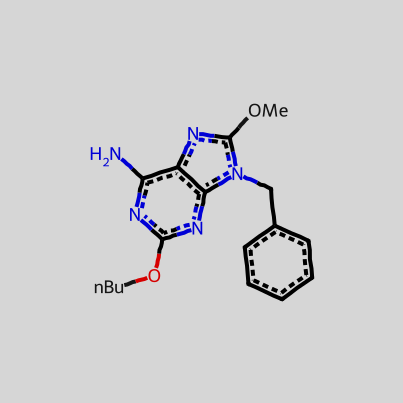 CCCCOc1nc(N)c2nc(OC)n(Cc3ccccc3)c2n1